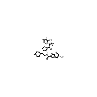 CN[C@@H](C)C(=O)N[C@H](C(=O)N1CCC[C@H]1CN(CCc1ccc(F)cc1)C(=O)c1cn2cc(O)cnc2n1)C(C)(C)C